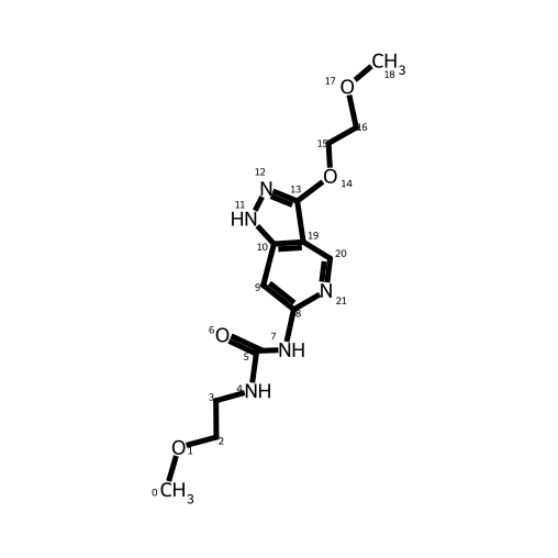 COCCNC(=O)Nc1cc2[nH]nc(OCCOC)c2cn1